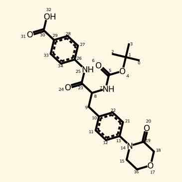 CC(C)(C)OC(=O)NC(Cc1ccc(N2CCOCC2=O)cc1)C(=O)Nc1ccc(C(=O)O)cc1